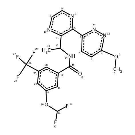 COc1ccc(-c2nccnc2C(C)NC(=O)c2cc(OC(F)F)cc(C(F)(F)F)c2)nn1